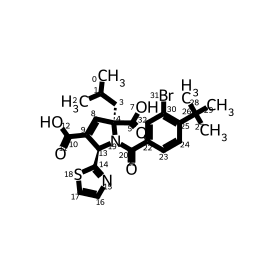 CC(C)C[C@@]1(C(=O)O)C=C(C(=O)O)[C@H](c2nccs2)N1C(=O)c1ccc(C(C)(C)C)c(Br)c1